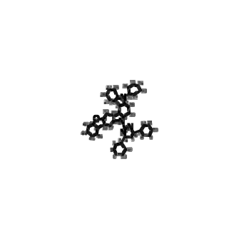 c1ccc(-c2cc(-c3ccccc3)nc(-n3c4cc5c(cc4c4c6c7ccccc7n(-c7ccccc7)c6ccc43)oc3ccccc35)n2)cc1